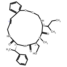 CCC(C)[C@@H]1NCCOc2ccccc2/C=C/CNC(=O)[C@@H](C(C)c2ccccc2)NC(=O)[C@H](CO)N(C)C1=O